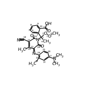 COOC(C)(c1ccccc1C(=O)O)N1C(=O)C(C#N)=C(C)/C(=N/c2ccc(N(C)C)cc2C)C1=O